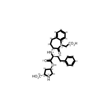 O=C(O)CN1C(=O)[C@H](N[C@@H](CCc2ccccc2)C(=O)O[C@H]2CN[C@H](C(=O)O)C2)CCc2ccccc21